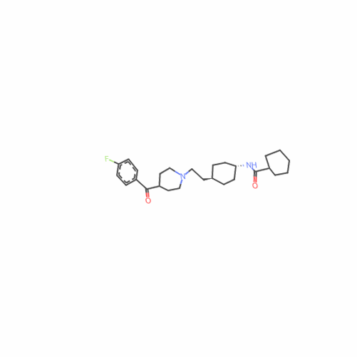 O=C(N[C@H]1CC[C@H](CCN2CCC(C(=O)c3ccc(F)cc3)CC2)CC1)C1CCCCC1